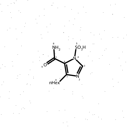 CCCCCCc1ncn(S(=O)(=O)O)c1C(N)=O